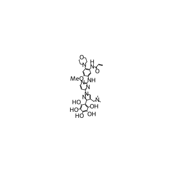 C=CC(=O)Nc1cc(Nc2nccc(-n3cc(CN(C)C)c(-c4c(O)c(O)c(O)c(O)c4O)n3)n2)c(OC)cc1N1CCOCC1